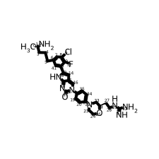 C[C@H](N)CCCc1cc(Cl)c(F)c(-c2cc3cn(-c4ccc(N5CCO[C@H](CCNC(=N)N)C5)cc4)c(=O)nc3[nH]2)c1